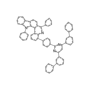 c1ccc(-c2cccc(-c3cc(-c4cccc(-c5ccccc5)c4)nc(-c4ccc(-c5cccc6c5nc(-c5ccccc5)c5ccc7c8ccccc8n(-c8ccccc8)c7c56)cc4)n3)c2)cc1